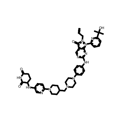 C=CCn1c(=O)c2cnc(Nc3ccc(N4CCN(CC5CCN(c6ccc(NC7CCC(=O)NC7=O)cn6)CC5)CC4)cc3)nc2n1-c1cccc(C(C)(C)O)n1